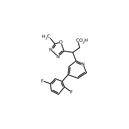 Cc1nnc(C(CC(=O)O)c2cc(-c3cc(F)ccc3F)ccn2)o1